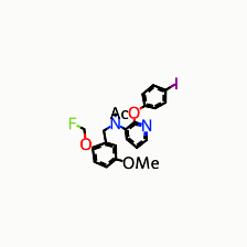 COc1ccc(OCF)c(CN(C(C)=O)c2cccnc2Oc2ccc(I)cc2)c1